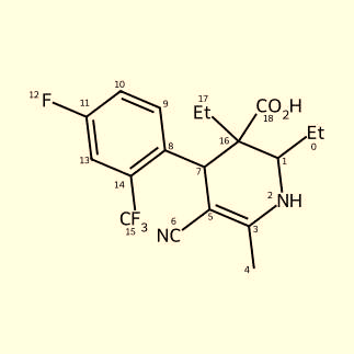 CCC1NC(C)=C(C#N)C(c2ccc(F)cc2C(F)(F)F)C1(CC)C(=O)O